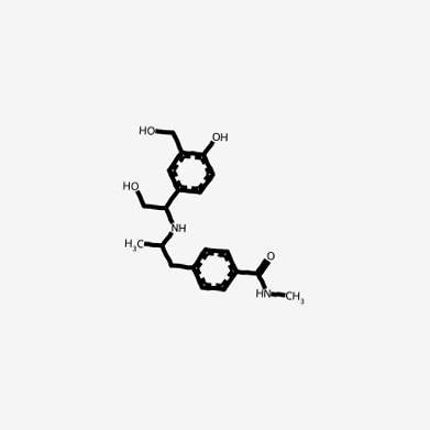 CNC(=O)c1ccc(CC(C)NC(CO)c2ccc(O)c(CO)c2)cc1